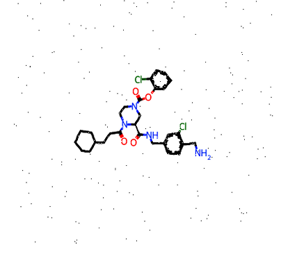 NCc1ccc(CNC(=O)[C@@H]2CN(C(=O)Oc3ccccc3Cl)CCN2C(=O)CCC2CCCCC2)cc1Cl